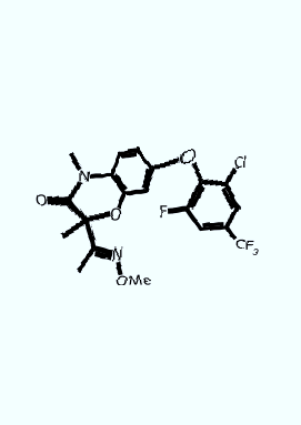 CON=C(C)C1(C)Oc2cc(Oc3c(F)cc(C(F)(F)F)cc3Cl)ccc2N(C)C1=O